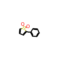 O=S1(=O)C=CC=C1c1ccccc1